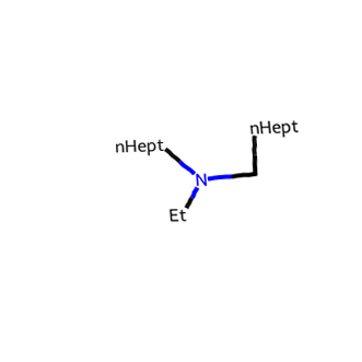 CCCCCCCCN(CC)CCCCCCC